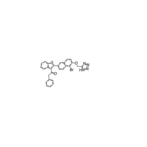 O=C(Cc1ccccc1)c1c(-c2ccc3c(Br)c(OCc4nnn[nH]4)ccc3c2)sc2ccccc12